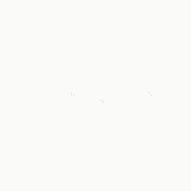 C=N/C=C\C=N/CN1CCC(C)CC1